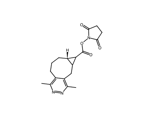 Cc1nnc(C)c2c1CCC[C@H]1C(C2)C1C(=O)ON1C(=O)CCC1=O